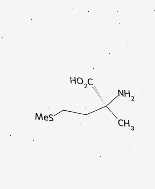 CSCC[C@](C)(N)C(=O)O